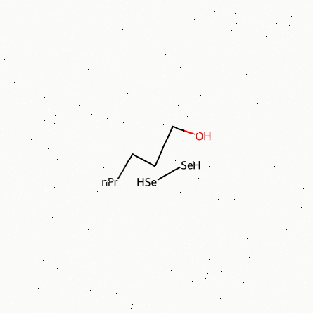 CCCCCCO.[SeH][SeH]